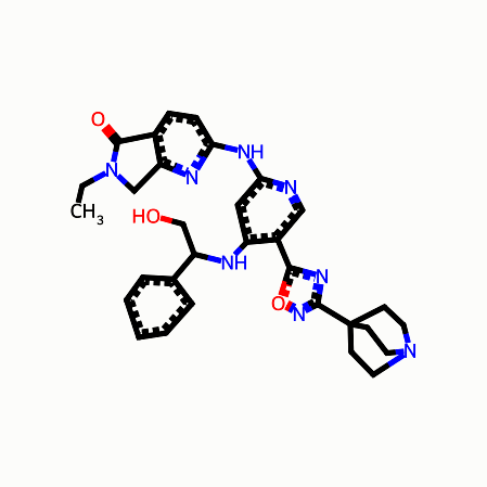 CCN1Cc2nc(Nc3cc(NC(CO)c4ccccc4)c(-c4nc(C56CCN(CC5)CC6)no4)cn3)ccc2C1=O